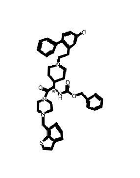 O=C(N[C@@H](C(=O)N1CCN(Cc2cccc3ccsc23)CC1)C1CCN(CCc2cc(Cl)ccc2-c2ccccc2)CC1)OCc1ccccc1